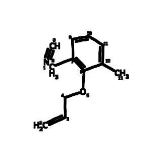 C#N.C=CCOc1c(C)cccc1C